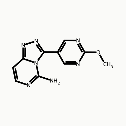 COc1ncc(-c2nnc3ccnc(N)n23)cn1